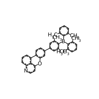 Cc1cccc(C)c1B(c1c(C)cccc1C)c1c(C)cc(-c2ccc3c(c2)Oc2ccnc4cccc-3c24)cc1C